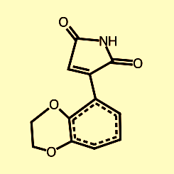 O=C1C=C(c2cccc3c2OCCO3)C(=O)N1